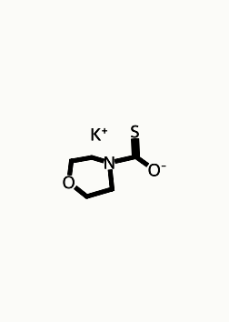 [K+].[O-]C(=S)N1CCOCC1